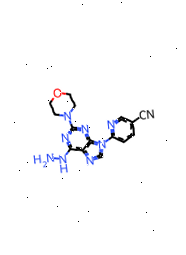 N#Cc1ccc(-n2cnc3c(NN)nc(N4CCOCC4)nc32)nc1